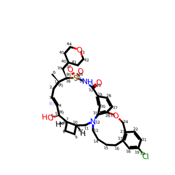 C[C@@H]1C/C=C/[C@H](O)[C@@H]2CC[C@H]2CN2CCCCc3cc(Cl)ccc3COc3ccc(cc32)C(=O)NS(=O)(=O)[C@@H]1CC1CCOCC1